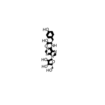 O=C(O)[C@@H](Cc1ccc(O)cc1)Nc1ncnc2c1ncn2[C@@H]1O[C@H](CO)C(O)C1O